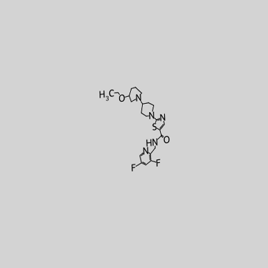 CCOC1CCCN(C2CCN(c3ncc(C(=O)NCc4ncc(F)cc4F)s3)CC2)C1